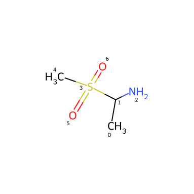 CC(N)S(C)(=O)=O